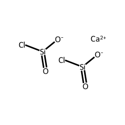 O=[Si]([O-])Cl.O=[Si]([O-])Cl.[Ca+2]